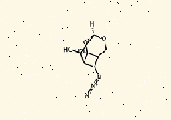 [N-]=[N+]=NC1C2CO[C@@H]3OC2(O)C1C3O